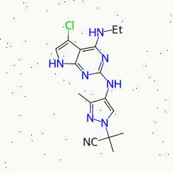 CCNc1nc(Nc2cn(C(C)(C)C#N)nc2C)nc2[nH]cc(Cl)c12